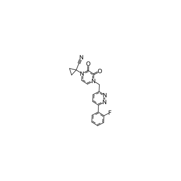 N#CC1(n2ccn(Cc3ccc(-c4ccccc4F)nn3)c(=O)c2=O)CC1